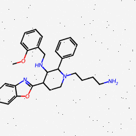 COc1ccccc1CNC1C(c2nc3ccccc3o2)CCN(CCCCN)C1c1ccccc1